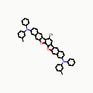 Cc1cccc(N(c2ccccc2)c2ccc3cc4c(cc3c2)oc2c4cc(C#N)c3c4cc5ccc(N(c6ccccc6)c6cccc(C)c6)cc5cc4oc23)c1